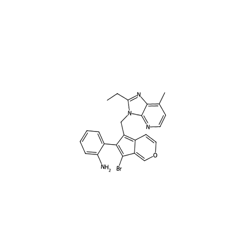 CCc1nc2c(C)ccnc2n1Cc1c2ccocc-2c(Br)c1-c1ccccc1N